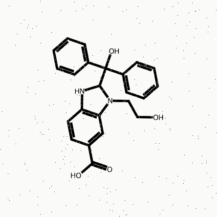 O=C(O)c1ccc2c(c1)N(CCO)C(C(O)(c1ccccc1)c1ccccc1)N2